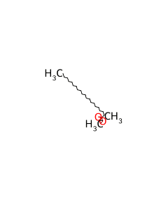 CCCCCCCCCCCCCCCCCCCCC(C)C(=O)OC